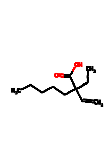 C=CC(CC)(CCCCC)C(=O)O